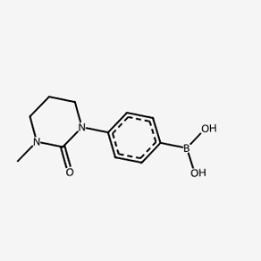 CN1CCCN(c2ccc(B(O)O)cc2)C1=O